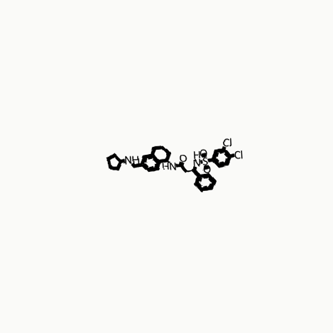 O=C(C[C@@H](NS(=O)(=O)c1ccc(Cl)c(Cl)c1)c1ccccc1)N[C@@H]1CCCc2cc(CNC3CCCC3)ccc21